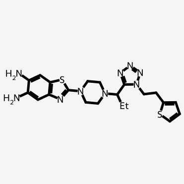 CCC(c1nnnn1CCc1cccs1)N1CCN(c2nc3cc(N)c(N)cc3s2)CC1